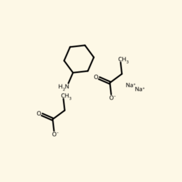 CCC(=O)[O-].CCC(=O)[O-].NC1CCCCC1.[Na+].[Na+]